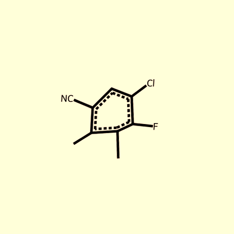 Cc1c(C#N)cc(Cl)c(F)c1C